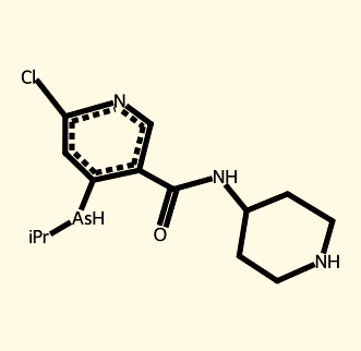 CC(C)[AsH]c1cc(Cl)ncc1C(=O)NC1CCNCC1